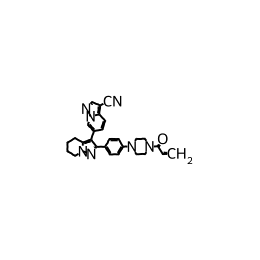 C=CC(=O)N1CCN(c2ccc(-c3nn4c(c3-c3ccc5c(C#N)cnn5c3)CCCC4)cc2)CC1